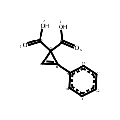 O=C(O)C1(C(=O)O)C=C1c1ccccc1